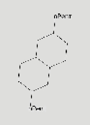 CCCCCC1CCC2CC(CCCCC)CCC2C1